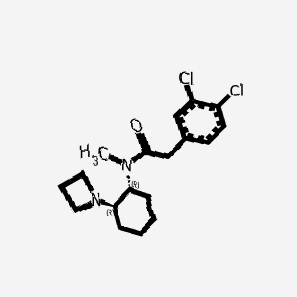 CN(C(=O)Cc1ccc(Cl)c(Cl)c1)[C@@H]1CCCC[C@H]1N1CCC1